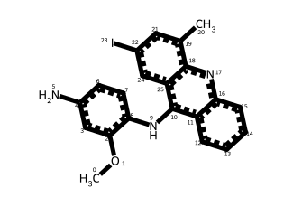 COc1cc(N)ccc1Nc1c2ccccc2nc2c(C)cc(I)cc12